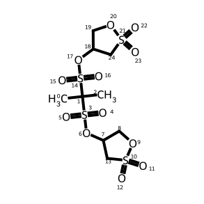 CC(C)(S(=O)(=O)OC1COS(=O)(=O)C1)S(=O)(=O)OC1COS(=O)(=O)C1